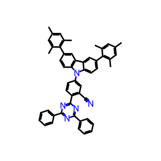 Cc1cc(C)c(-c2ccc3c(c2)c2cc(-c4c(C)cc(C)cc4C)ccc2n3-c2ccc(-c3nc(-c4ccccc4)nc(-c4ccccc4)n3)c(C#N)c2)c(C)c1